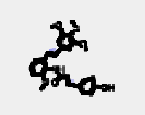 COc1cccc(/C=C/c2cc(OC)c(OC)c(OC)c2)c1NC(=O)/C=C/c1ccc(O)cc1